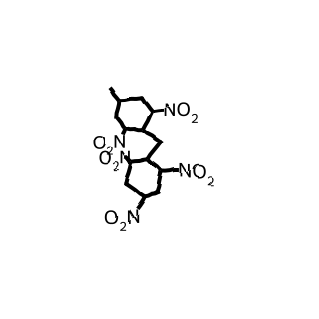 CC1CC([N+](=O)[O-])C(CC2C([N+](=O)[O-])CC([N+](=O)[O-])CC2[N+](=O)[O-])C([N+](=O)[O-])C1